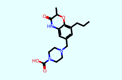 CCCc1cc(CN2CCN(C(=O)O)CC2)cc2c1OC(C)C(=O)N2